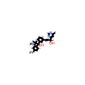 Cc1cc([C@](C)(O)C#Cc2cccc([C@@](O)(c3ccc(C(C)C)cc3)C3(C)CN(C)C3)c2)ncn1